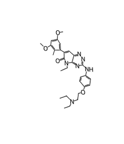 CCN(CC)CCOc1ccc(Nc2nnc3cc(-c4cc(OC)cc(OC)c4C)c(=O)n(CC)c3n2)cc1